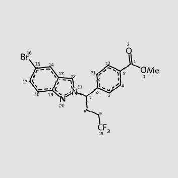 COC(=O)c1ccc(C(CCC(F)(F)F)n2cc3cc(Br)ccc3n2)cc1